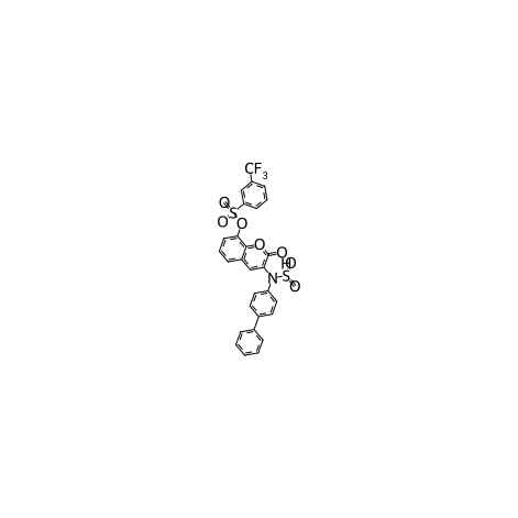 O=c1oc2c(OS(=O)(=O)c3cccc(C(F)(F)F)c3)cccc2cc1N(c1ccc(-c2ccccc2)cc1)[SH](=O)=O